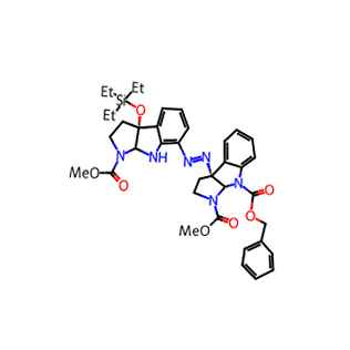 CC[Si](CC)(CC)O[C@]12CCN(C(=O)OC)C1Nc1c(/N=N/[C@]34CCN(C(=O)OC)C3N(C(=O)OCc3ccccc3)c3ccccc34)cccc12